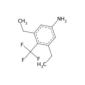 CCc1cc(N)cc(CC)c1C(F)(F)F